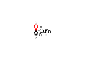 [Cu].[O]=[Mn].[Zn]